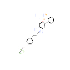 NS(=O)(=O)c1ccccc1-c1ccc2[nH]c(CCc3ccc(OCC(F)(F)C(F)(F)F)cc3)nc2c1